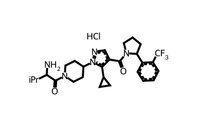 CC(C)C(N)C(=O)N1CCC(n2ncc(C(=O)N3CCCC3c3ccccc3C(F)(F)F)c2C2CC2)CC1.Cl